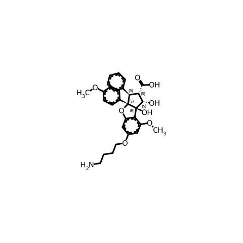 COc1ccc([C@]23Oc4cc(OCCCCN)cc(OC)c4[C@@]2(O)[C@@H](O)[C@@H](C(=O)O)[C@@H]3c2ccccc2)cc1